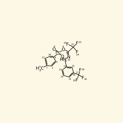 Cc1ccc(S(=O)(=O)O/C(=N\Nc2cccc(C(F)(F)F)c2)C(F)(F)F)cc1